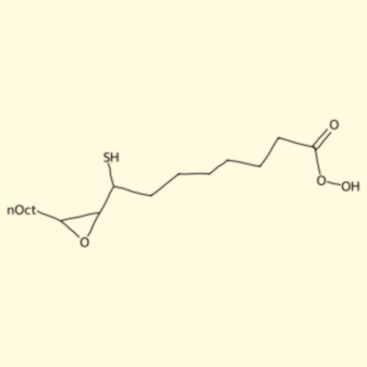 CCCCCCCCC1OC1C(S)CCCCCCC(=O)OO